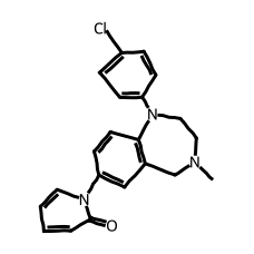 CN1CCN(c2ccc(Cl)cc2)c2ccc(-n3ccccc3=O)cc2C1